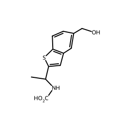 CC(NC(=O)O)c1cc2cc(CO)ccc2s1